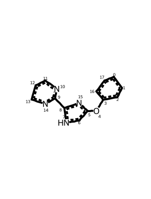 c1ccc(Oc2c[nH]c(-c3ncccn3)n2)cc1